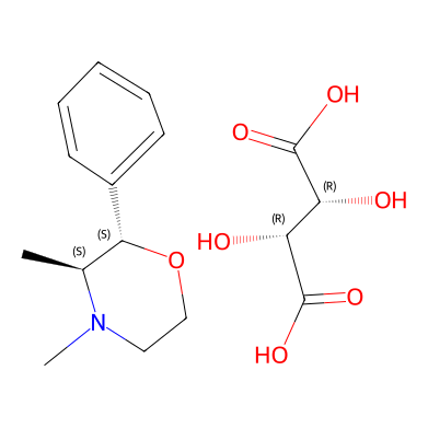 C[C@H]1[C@H](c2ccccc2)OCCN1C.O=C(O)[C@H](O)[C@@H](O)C(=O)O